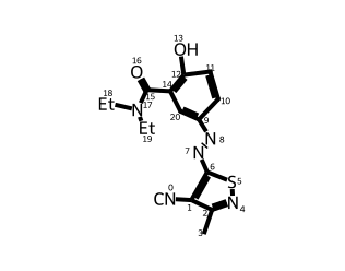 [C-]#[N+]c1c(C)nsc1N=Nc1ccc(O)c(C(=O)N(CC)CC)c1